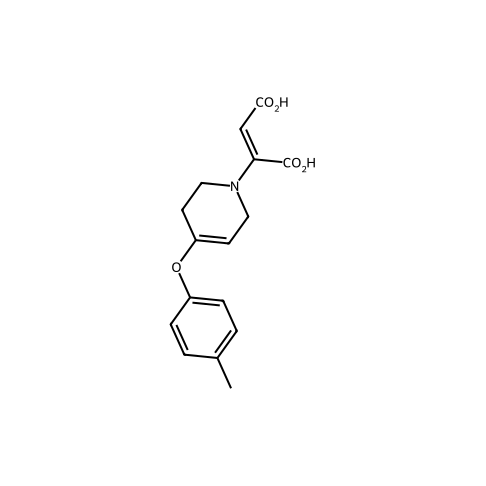 Cc1ccc(OC2=CCN(/C(=C/C(=O)O)C(=O)O)CC2)cc1